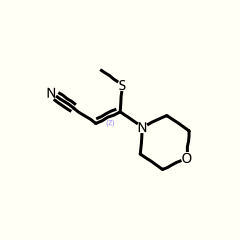 CS/C(=C\C#N)N1CCOCC1